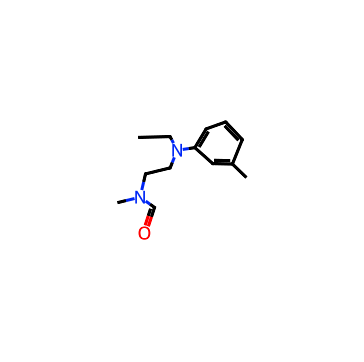 CCN(CCN(C)C=O)c1cccc(C)c1